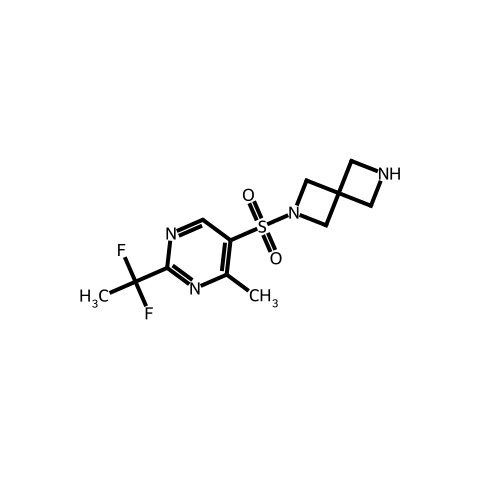 Cc1nc(C(C)(F)F)ncc1S(=O)(=O)N1CC2(CNC2)C1